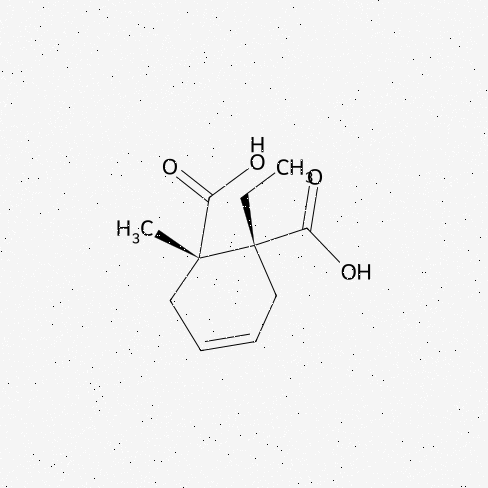 CC[C@@]1(C(=O)O)CC=CC[C@]1(C)C(=O)O